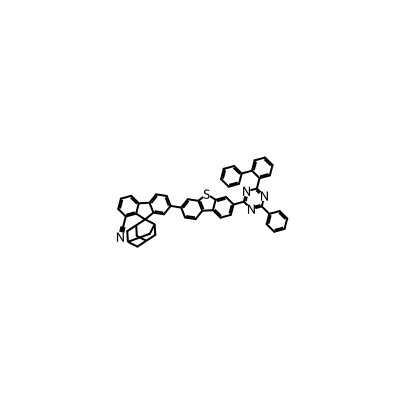 N#Cc1cccc2c1C1(c3cc(-c4ccc5c(c4)sc4cc(-c6nc(-c7ccccc7)nc(-c7ccccc7-c7ccccc7)n6)ccc45)ccc3-2)C2CC3CC(C2)CC1C3